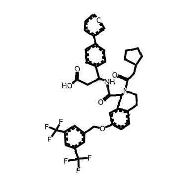 O=C(O)CC(NC(=O)C1c2cc(OCc3cc(C(F)(F)F)cc(C(F)(F)F)c3)ccc2CCN1C(=O)CC1CCCC1)c1ccc(-c2ccccc2)cc1